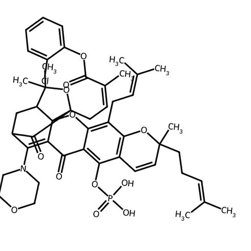 CC(C)=CCCC1(C)C=Cc2c(c(CC=C(C)C)c3c(c2OP(=O)(O)O)C(=O)C2=C(N4CCOCC4)C4CC5C(C)(C)OC(C/C=C(/C)C(=O)Oc6ccccc6Cl)(C4=O)C25O3)O1